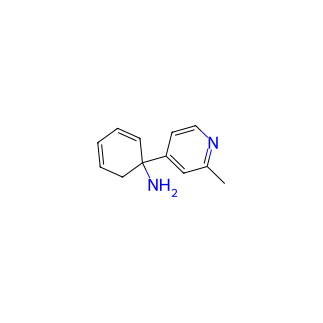 Cc1cc(C2(N)C=CC=CC2)ccn1